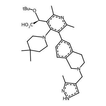 Cc1n[nH]cc1CN1CCc2cc(-c3c(C)nc(C)c([C@H](OC(C)(C)C)C(=O)O)c3N3CCC(C)(C)CC3)ccc2C1